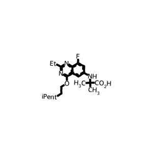 CCCC(C)CCOc1nc(CC)nc2c(F)cc(NC(C)(C)C(=O)O)cc12